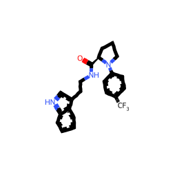 O=C(NCCc1c[nH]c2ccccc12)[C@H]1CCCN1c1ccc(C(F)(F)F)cc1